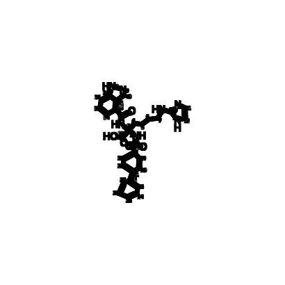 O=C(NC(CCCCNc1ncc[nH]1)(NS(=O)(=O)c1ccc(-c2ccccc2)cc1)C(=O)O)c1cccc2[nH]ncc12